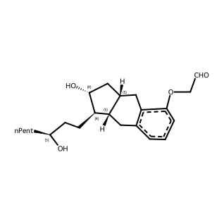 CCCCC[C@H](O)CC[C@@H]1[C@H]2Cc3cccc(OCC=O)c3C[C@H]2C[C@H]1O